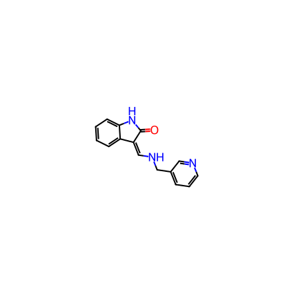 O=C1Nc2ccccc2/C1=C/NCc1cccnc1